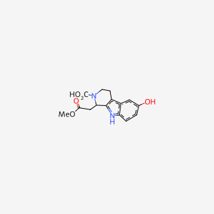 COC(=O)CC1c2[nH]c3ccc(O)cc3c2CCN1C(=O)O